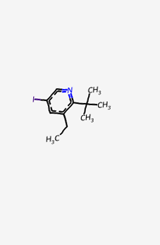 CCc1cc(I)cnc1C(C)(C)C